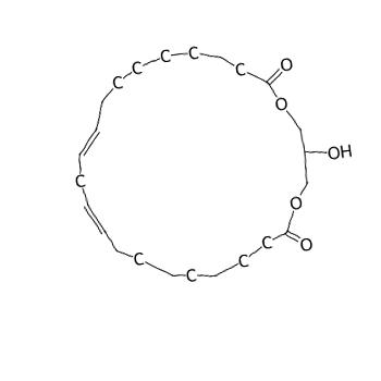 O=C1CCCCCCC/C=C/C/C=C/CCCCCCCC(=O)OCC(O)CO1